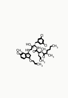 C=CCO[C@@H]1C[C@H](NC[C@@H](O)[C@H](Cc2cc(Cl)cc(Cl)c2)NC(=O)[C@H](CC=C)N(C)C(=O)[C@@H](C)CCCC)c2cc(OC)ccc21